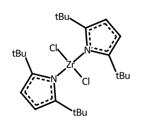 CC(C)(C)c1ccc(C(C)(C)C)[n]1[Zr]([Cl])([Cl])[n]1c(C(C)(C)C)ccc1C(C)(C)C